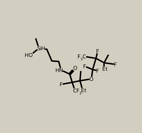 CCC(C)(F)C(F)(C(F)(F)F)C(F)(F)OC(C)(CC)C(F)(C(=O)NCCC[SiH](C)O)C(F)(F)F